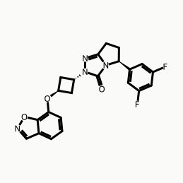 O=c1n2c(nn1[C@H]1C[C@H](Oc3cccc4cnoc34)C1)CC[C@H]2c1cc(F)cc(F)c1